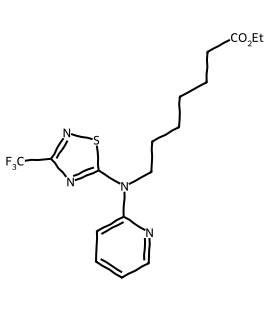 CCOC(=O)CCCCCCN(c1ccccn1)c1nc(C(F)(F)F)ns1